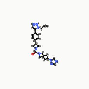 CC(C)(C)Cn1nncc1-c1ccc(C2CN(C(=O)N3CC4(CC(n5cncn5)C4)C3)C2)cc1